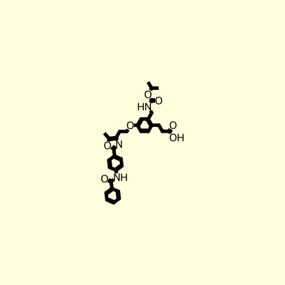 Cc1oc(-c2ccc(NC(=O)c3ccccc3)cc2)nc1CCOc1ccc(CCC(=O)O)c(CNC(=O)OC(C)C)c1